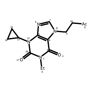 CCn1c(=O)c2c(ncn2CCC(C)=O)n(C2CC2)c1=O